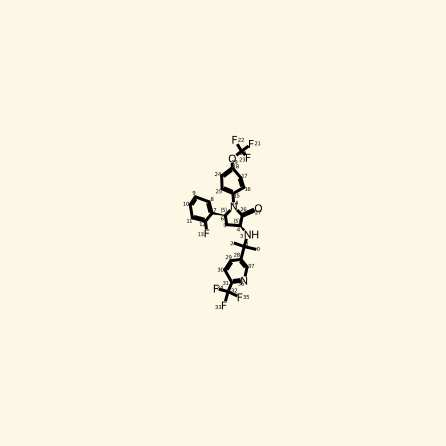 CC(C)(N[C@H]1C[C@@H](c2ccccc2F)N(c2ccc(OC(F)(F)F)cc2)C1=O)c1ccc(C(F)(F)F)nc1